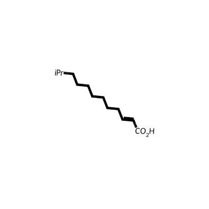 CC(C)CCCCCCCC=CC(=O)O